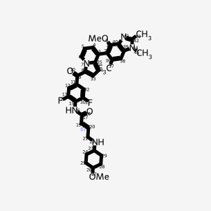 COc1c(-c2cccn3c(C(=O)c4cc(F)c(NC(=O)/C=C/CNC5CCC(OC)CC5)c(F)c4)ccc23)c(C(F)(F)F)cc2c1nc(C)n2C